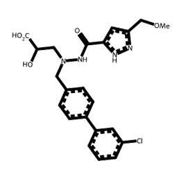 COCc1cc(C(=O)NN(Cc2ccc(-c3cccc(Cl)c3)cc2)CC(O)C(=O)O)[nH]n1